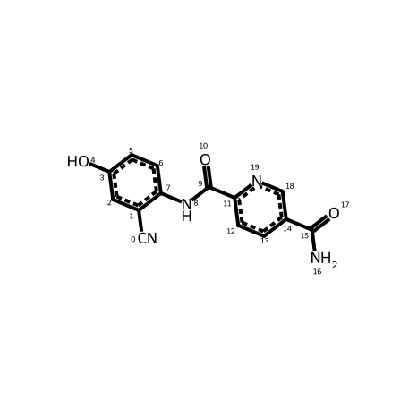 N#Cc1cc(O)ccc1NC(=O)c1ccc(C(N)=O)cn1